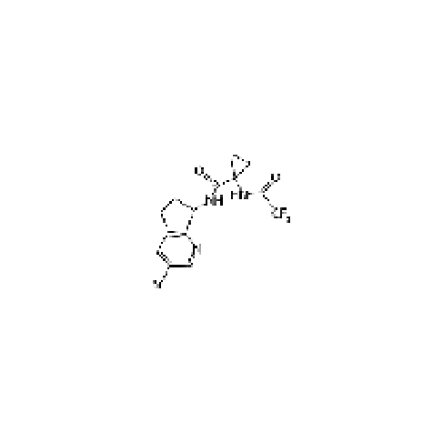 O=C(NC1(C(=O)NC2CCc3cc(Br)cnc32)CC1)C(F)(F)F